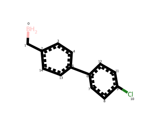 BCc1ccc(-c2ccc(Cl)cc2)cc1